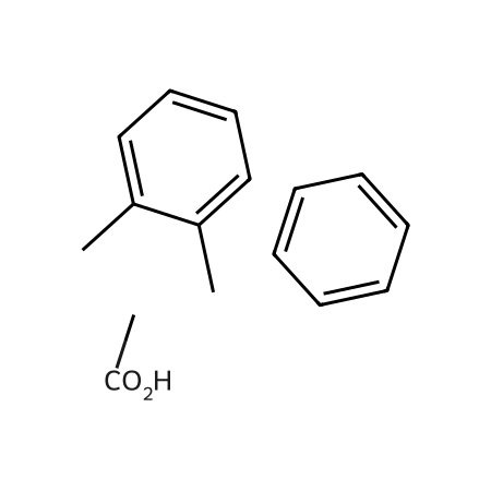 CC(=O)O.Cc1ccccc1C.c1ccccc1